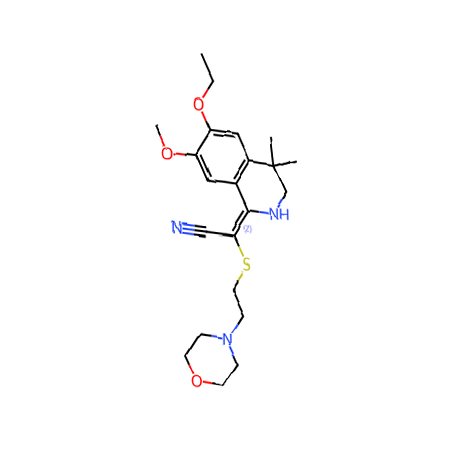 CCOc1cc2c(cc1OC)/C(=C(\C#N)SCCN1CCOCC1)NCC2(C)C